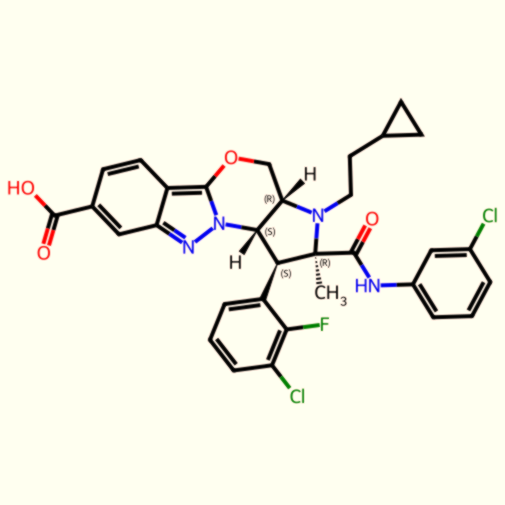 C[C@]1(C(=O)Nc2cccc(Cl)c2)[C@@H](c2cccc(Cl)c2F)[C@H]2[C@H](COc3c4ccc(C(=O)O)cc4nn32)N1CCC1CC1